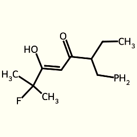 CCC(CP)C(=O)/C=C(\O)C(C)(C)F